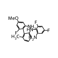 COc1cc(N)c(-c2c(C)cccc2Nc2c(N)cc(F)cc2F)c(F)c1